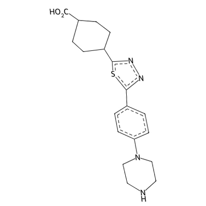 O=C(O)C1CCC(c2nnc(-c3ccc(N4CCNCC4)cc3)s2)CC1